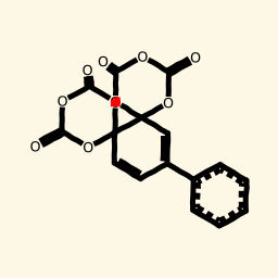 O=C1OC(=O)OC2(C=CC(c3ccccc3)=CC23OC(=O)OC(=O)O3)O1